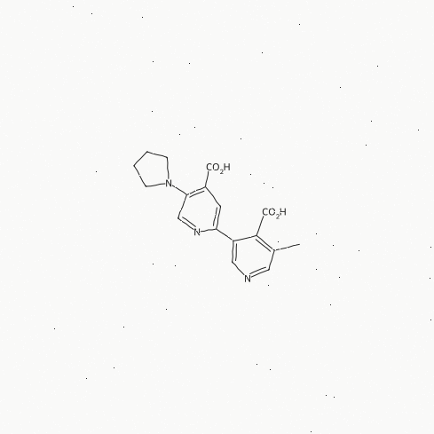 Cc1cncc(-c2cc(C(=O)O)c(N3CCCC3)cn2)c1C(=O)O